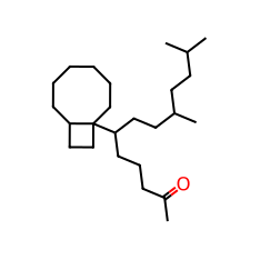 CC(=O)CCCC(CCC(C)CCC(C)C)C12CCCCCCC1CC2